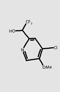 COc1cnc(C(O)C(F)(F)F)cc1Cl